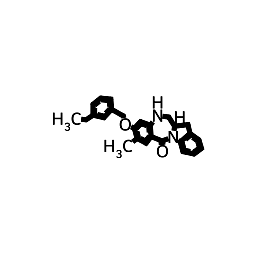 CCc1cccc(COc2cc3c(cc2C)C(=O)N2c4ccccc4C[C@H]2CN3)c1